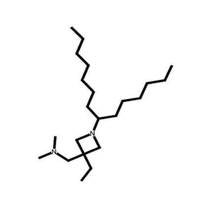 CCCCCCCC(CCCCCC)N1CC(CC)(CN(C)C)C1